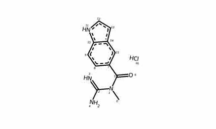 CN(C(=N)N)C(=O)c1ccc2[nH]ccc2c1.Cl